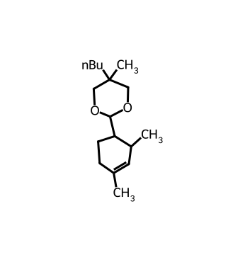 CCCCC1(C)COC(C2CCC(C)=CC2C)OC1